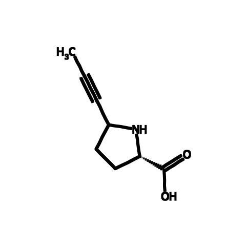 CC#CC1CC[C@@H](C(=O)O)N1